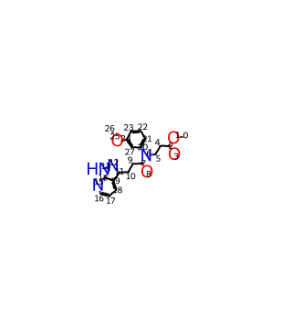 COC(=O)CCN(C(=O)CCc1n[nH]c2ncccc12)c1cccc(OC)c1